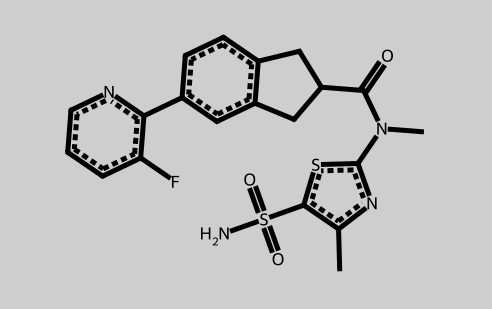 Cc1nc(N(C)C(=O)C2Cc3ccc(-c4ncccc4F)cc3C2)sc1S(N)(=O)=O